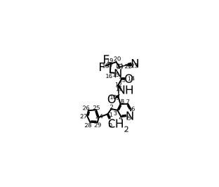 C=C(Cc1cnccc1C(=O)NCC(=O)N1CC(F)(F)C[C@H]1C#N)c1ccccc1